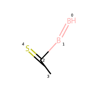 B=BC(C)=S